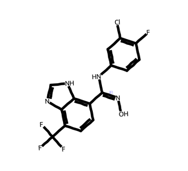 O/N=C(/Nc1ccc(F)c(Cl)c1)c1ccc(C(F)(F)F)c2nc[nH]c12